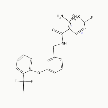 C/C(N)=C(\C=C/C(C)F)C(=O)NCc1cccc(Oc2ccccc2C(F)(F)F)c1